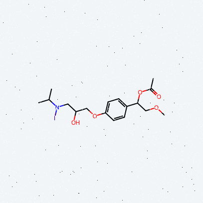 COCC(OC(C)=O)c1ccc(OCC(O)CN(I)C(C)C)cc1